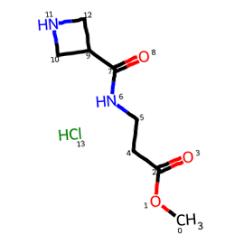 COC(=O)CCNC(=O)C1CNC1.Cl